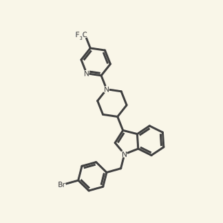 FC(F)(F)c1ccc(N2CCC(c3cn(Cc4ccc(Br)cc4)c4ccccc34)CC2)nc1